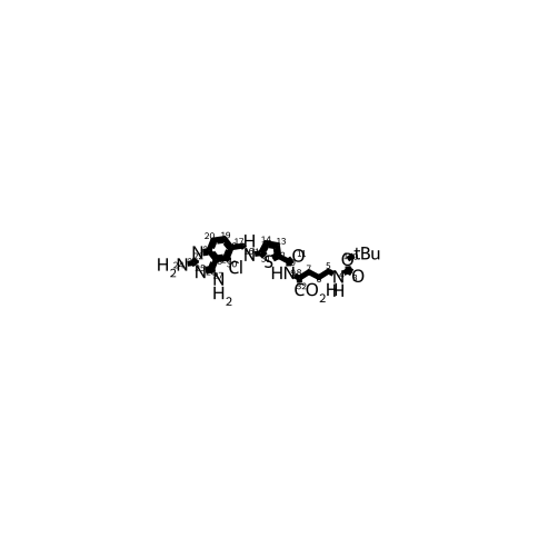 CC(C)(C)OC(=O)NCCCC(NC(=O)c1ccc(NCc2ccc3nc(N)nc(N)c3c2Cl)s1)C(=O)O